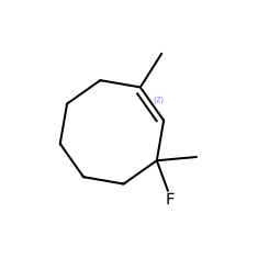 C/C1=C/C(C)(F)CCCCC1